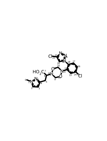 Cn1ccc(CC(C(=O)O)N2CON(c3cc(Cl)ccc3-n3cc(Cl)nn3)CO2)n1